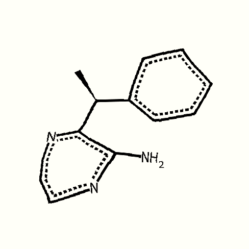 C[C@@H](c1ccccc1)c1nccnc1N